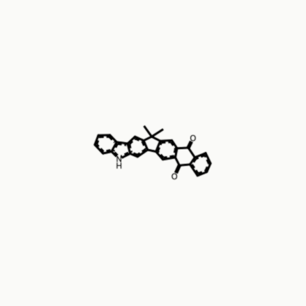 CC1(C)c2cc3c(cc2-c2cc4[nH]c5ccccc5c4cc21)C(=O)c1ccccc1C3=O